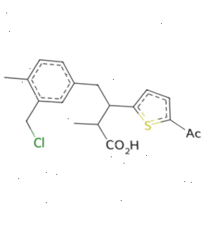 CC(=O)c1ccc(C(Cc2ccc(C)c(CCl)c2)C(C)C(=O)O)s1